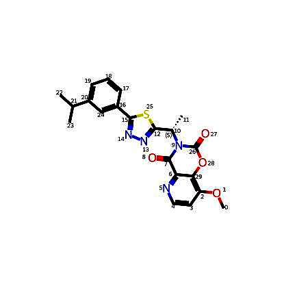 COc1ccnc2c(=O)n([C@@H](C)c3nnc(-c4cccc(C(C)C)c4)s3)c(=O)oc12